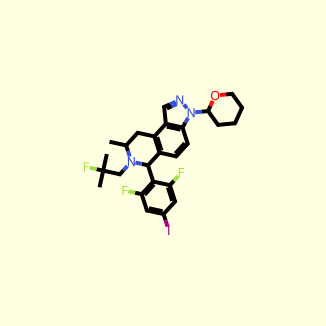 CC1Cc2c(ccc3c2cnn3C2CCCCO2)C(c2c(F)cc(I)cc2F)N1CC(C)(C)F